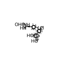 N=C(C#Cc1ccc(Cc2cc([C@H]3C[C@@H](O)C[C@@H](CO)O3)ccc2Cl)cc1)NC=O